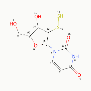 O=c1ccn([C@@H]2O[C@H](CO)C(O)C2SS)c(=O)[nH]1